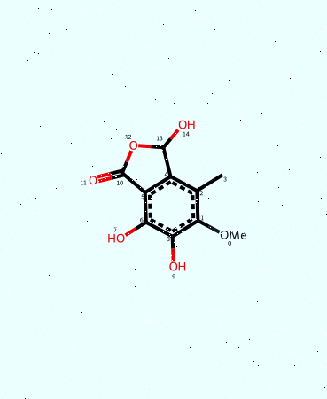 COc1c(C)c2c(c(O)c1O)C(=O)OC2O